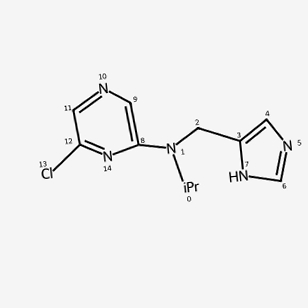 CC(C)N(Cc1cnc[nH]1)c1cncc(Cl)n1